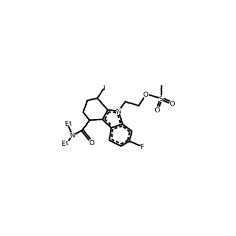 CCN(CC)C(=O)C1CCC(I)c2c1c1ccc(F)cc1n2CCOS(C)(=O)=O